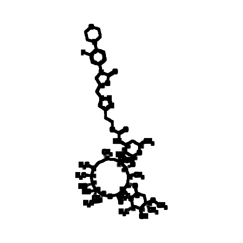 CC[C@H]1OC(=O)[C@H](C)[C@@H](O[C@H]2C[C@@](C)(OC)[C@@H](O)[C@H](C)O2)[C@H](C)[C@@H](O[C@@H]2O[C@H](C)C[C@H](NC(=O)OCCc3cn(C[C@H]4CN(c5ccc(N6CCOCC6)c(F)c5)C(=O)O4)nn3)[C@H]2O)[C@](C)(O)C[C@@H](C)CN(C)[C@H](C)[C@@H](O)[C@]1(C)O